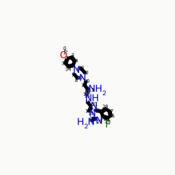 COc1ccc(N2CCN(CC/C(N)=C/NCc3cn4c(N)nc5c(F)cccc5c4n3)CC2)cc1